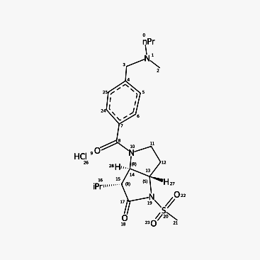 CCCN(C)Cc1ccc(C(=O)N2CC[C@H]3[C@H]2[C@@H](C(C)C)C(=O)N3S(C)(=O)=O)cc1.Cl